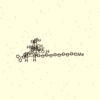 COCCOCCOCCOCCOCCOCCOCCOCCOCCOCC(=O)NCCCC[C@H](NC(=O)OCC1c2ccccc2-c2ccccc21)C(=O)NCCCC(=O)N[C@@H](CCC(=O)OC(C)(C)C)C(=O)N[C@@H](C)C(=O)N[C@@H](C)C(=O)O